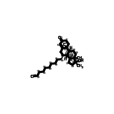 C[C@]12CCC(=O)C=C1C[C@@H](CCCCCCCCCCl)[C@@H]1[C@@H]2CC[C@@]2(C)[C@H]1CC[C@]2(C)O